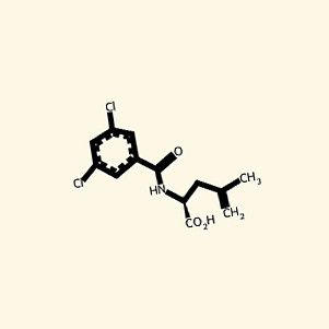 C=C(C)C[C@H](NC(=O)c1cc(Cl)cc(Cl)c1)C(=O)O